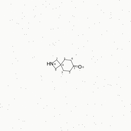 O=C1CCC2(CC1)CNC2